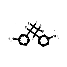 Nc1cccc(C2(F)C(F)(F)C(F)(F)C2(F)c2cccc(N)c2)c1